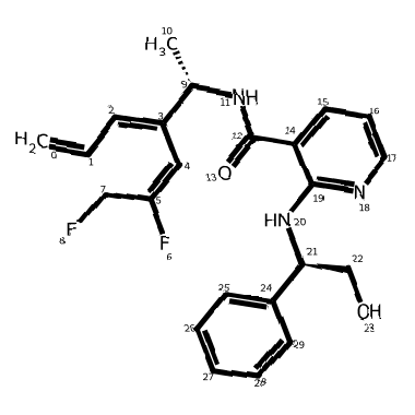 C=C/C=C(\C=C(\F)CF)[C@H](C)NC(=O)c1cccnc1N[C@@H](CO)c1ccccc1